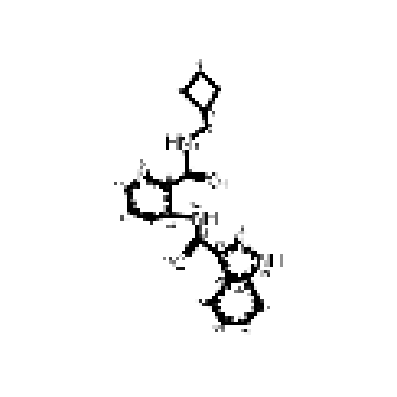 O=C(NCC1CCC1)c1ncccc1NC(=O)c1n[nH]c2ccccc12